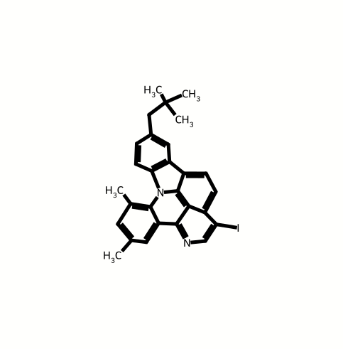 Cc1cc(C)c2c(c1)c1ncc(I)c3ccc4c5cc(CC(C)(C)C)ccc5n2c4c31